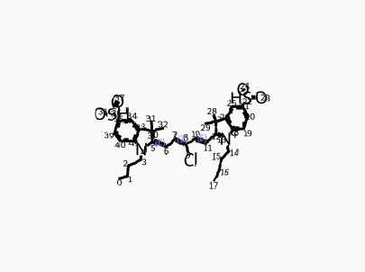 CCCCN1/C(=C/C=C(Cl)/C=C/C2=[N+](CCCC)c3ccc([SH](=O)=O)cc3C2(C)C)C(C)(C)c2cc([SH](=O)=O)ccc21